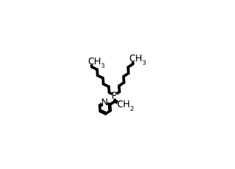 C=C(c1ccccn1)P(CCCCCCCC)CCCCCCCC